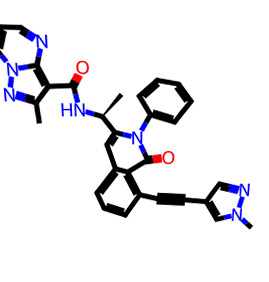 Cc1nn2cccnc2c1C(=O)N[C@@H](C)c1cc2cccc(C#Cc3cnn(C)c3)c2c(=O)n1-c1ccccc1